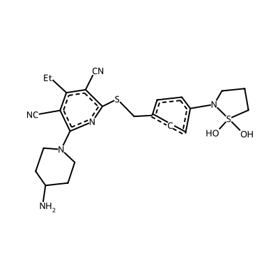 CCc1c(C#N)c(SCc2ccc(N3CCCS3(O)O)cc2)nc(N2CCC(N)CC2)c1C#N